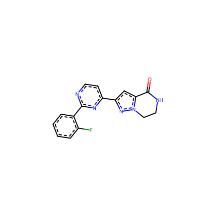 O=C1NCCn2nc(-c3ccnc(-c4ccccc4F)n3)cc21